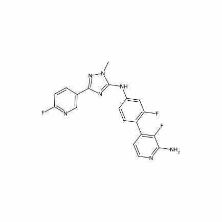 Cn1nc(-c2ccc(F)nc2)nc1Nc1ccc(-c2ccnc(N)c2F)c(F)c1